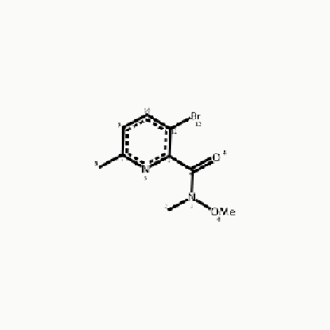 CON(C)C(=O)c1nc(C)ccc1Br